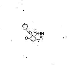 O=C1NC2(CC2)Cn2ccc(=O)c(OCc3ccccc3)c21